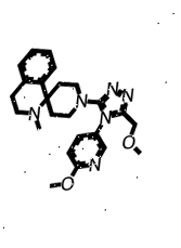 COCc1nnc(N2CCC3(CC2)c2ccccc2CCN3C)n1-c1ccc(OC)nc1